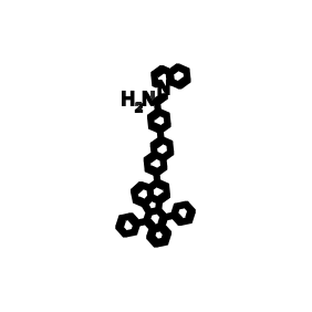 N/C(=C\N1CC=CC2=C1C=CCC2)C1=CC=C(C2=CC3=CC=C(C4=CC=C5C6C(=CC=CC46)C4C(C6=CC=CCC6)=c6ccccc6=C(C6=CC=CCC6)C54)CC3CC2)CC1